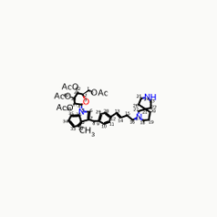 CC(=O)OC[C@H]1O[C@@H](n2cc(Cc3ccc(C=CCCN4CCCC5(CCNCC5)C4)cc3)c3c(C)cccc32)[C@H](OC(C)=O)[C@@H](OC(C)=O)[C@@H]1OC(C)=O